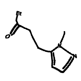 CCC(=O)CCc1ccnn1C